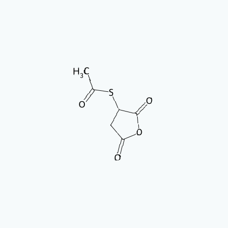 CC(=O)SC1CC(=O)OC1=O